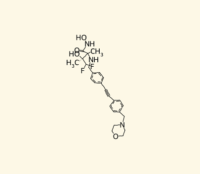 CC(NCc1ccc(C#Cc2ccc(CN3CCOCC3)cc2)cc1)(C(=O)NO)[C@](C)(O)C(F)F